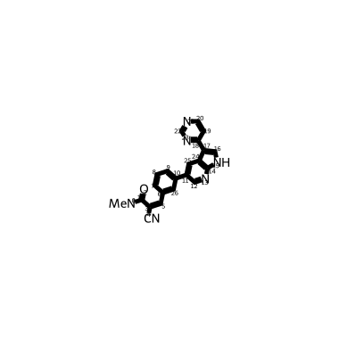 CNC(=O)C(C#N)=Cc1cccc(-c2cnc3[nH]cc(-c4ccncn4)c3c2)c1